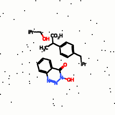 CC(C)CO.CC(C)Cc1ccc(C(C)C(=O)O)cc1.O=c1c2ccccc2nnn1O